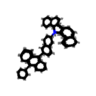 c1ccc(-c2c3ccccc3c(-c3ccc4cc(-n5c6c7ccccc7ccc6c6ccc7ccccc7c65)ccc4c3)c3ccccc23)cc1